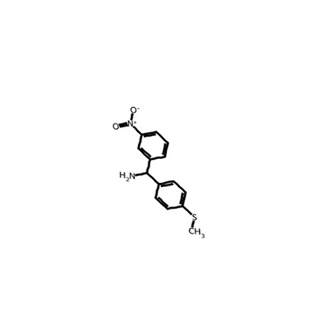 CSc1ccc(C(N)c2cccc([N+](=O)[O-])c2)cc1